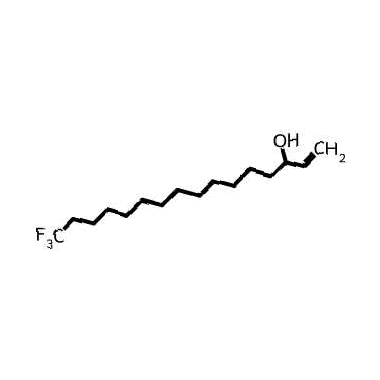 C=CC(O)CCCCCCCCCCCCC(F)(F)F